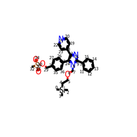 C[Si](C)(C)CCOCn1c(-c2ccccc2)nc(-c2ccncc2)c1-c1ccc(COS(C)(=O)=O)cc1